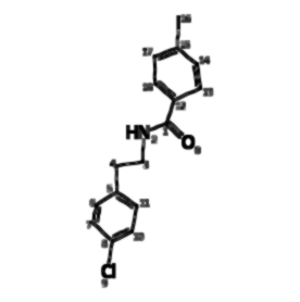 O=C(NCCc1ccc(Cl)cc1)c1ccc(I)cc1